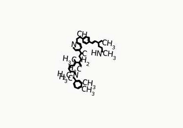 C=C(\C=C/C=C(C)/C(=C\C)CCC(=C)C1=CC=NC(CC(=C)c2ccc(/C=C/C(CC)CCC(C)=N)cc2)=C=C1)C/N=C(\C)C1=C=C(C)C(C)=CC=C1